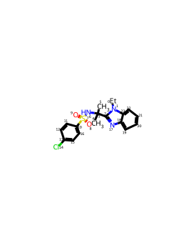 CCn1c(C(C)(C)NS(=O)(=O)c2ccc(Cl)cc2)nc2ccccc21